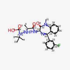 C[C@H](NN(C(=O)O)C(C)(C)C)C(=O)NC1N=C(c2cccc(F)c2)c2ccccc2N(C)C1=O